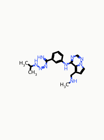 CNCc1ccn2ncnc(Nc3cccc(C(=N)/N=N\NC(C)C)c3)c12